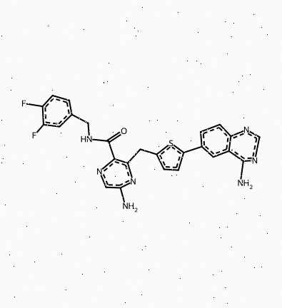 Nc1cnc(C(=O)NCc2ccc(F)c(F)c2)c(Cc2ccc(-c3ccc4ncnc(N)c4c3)s2)n1